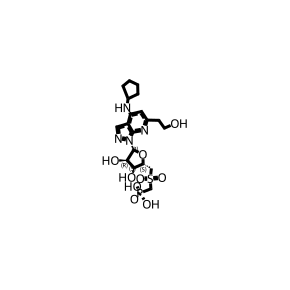 O=P(O)(O)CS(=O)(=O)C[C@H]1O[C@@H](n2ncc3c(NC4CCCC4)cc(CCO)nc32)[C@H](O)[C@@H]1O